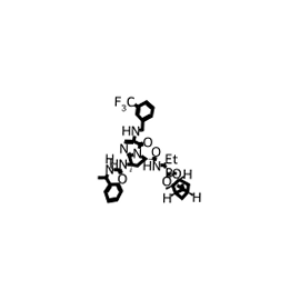 CC[C@H](NC(=O)[C@@H]1C[C@@](C)(NC(=O)NC(C)c2ccccc2)c2ncc(NCc3cccc(C(F)(F)F)c3)c(=O)n21)B1O[C@@H]2C[C@@H]3C[C@@H](C3(C)C)[C@]2(C)O1